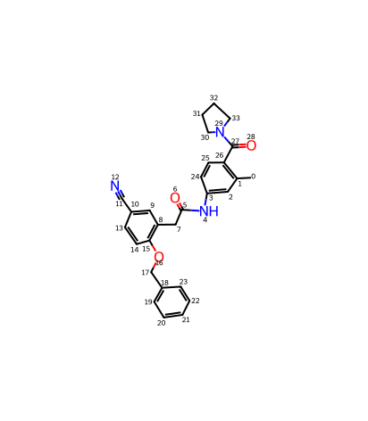 Cc1cc(NC(=O)Cc2cc(C#N)ccc2OCc2ccccc2)ccc1C(=O)N1CCCC1